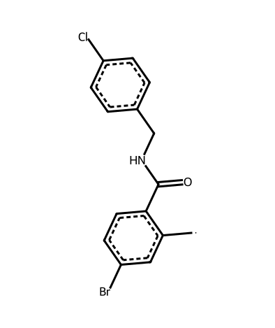 [CH2]c1cc(Br)ccc1C(=O)NCc1ccc(Cl)cc1